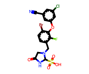 N#Cc1cc(Cl)cc(Oc2c(Br)ccc(CN3CC(=O)NC3S(=O)(=O)O)c2F)c1